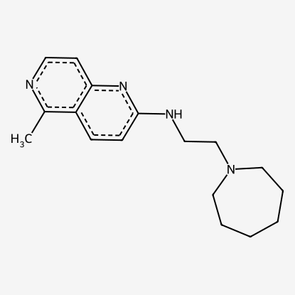 Cc1nccc2nc(NCCN3CCCCCC3)ccc12